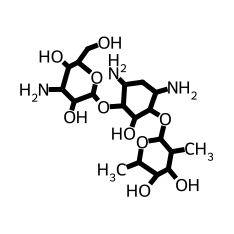 CC1OC(OC2C(N)CC(N)C(OC3OC(CO)C(O)C(N)C3O)C2O)C(C)C(O)C1O